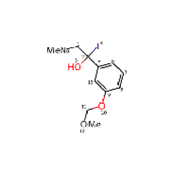 CNCC(O)(I)c1cccc(OCOC)c1